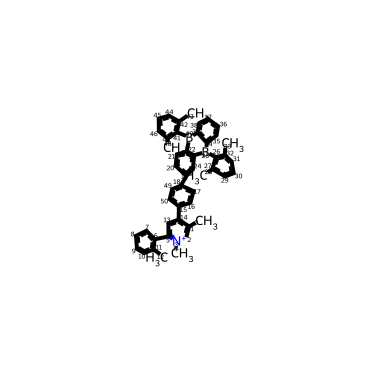 Cc1c[n+](C)c(-c2ccccc2C)cc1-c1ccc(-c2ccc3c(c2)B(c2c(C)cccc2C)c2ccccc2B3c2c(C)cccc2C)cc1